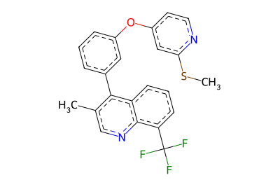 CSc1cc(Oc2cccc(-c3c(C)cnc4c(C(F)(F)F)cccc34)c2)ccn1